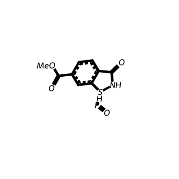 COC(=O)c1ccc2c(c1)[SH](P=O)NC2=O